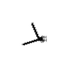 CCCCCCCCCCCCCC[N+]1(CCCCCCCCCCCCCC)CC(O)C(O)C1.[Cl-]